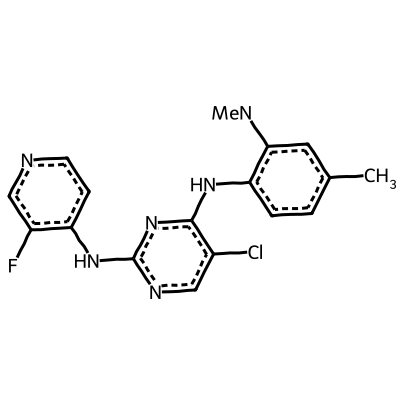 CNc1cc(C)ccc1Nc1nc(Nc2ccncc2F)ncc1Cl